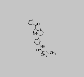 CCCC(C)C(=O)Nc1cccc(-c2ccnc3c(C(=O)c4cccs4)cnn23)c1